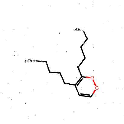 CCCCCCCCCCCCCCC1=C(CCCCCCCCCCCCCC)OOC=C1